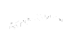 N#CCCCC(=O)NC1CCC(CCN2CCN(c3ccc(C(F)(F)F)cc3)CC2)CC1